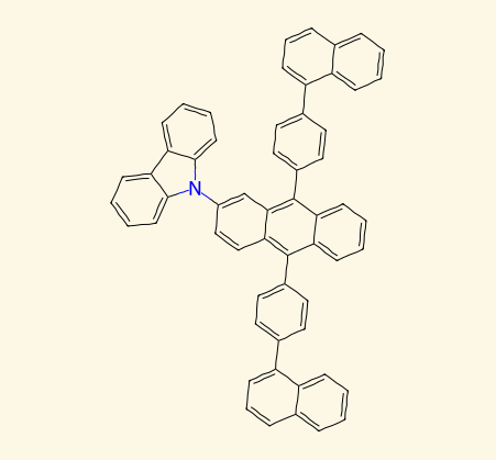 c1ccc2c(-c3ccc(-c4c5ccccc5c(-c5ccc(-c6cccc7ccccc67)cc5)c5cc(-n6c7ccccc7c7ccccc76)ccc45)cc3)cccc2c1